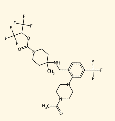 CC(=O)N1CCN(c2cc(C(F)(F)F)ccc2CNC2(C)CCN(C(=O)OC(C(F)(F)F)C(F)(F)F)CC2)CC1